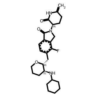 C=C1CC[C@@H](N2Cc3c(ccc(C[C@H]4OCCC[C@@H]4NC4CCCCC4)c3F)C2=O)C(=O)N1